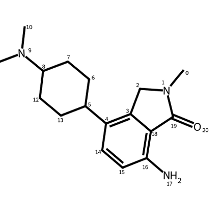 CN1Cc2c(C3CCC(N(C)C)CC3)ccc(N)c2C1=O